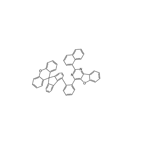 c1ccc2c(c1)Oc1ccccc1C21c2ccccc2-c2c(-c3ccccc3-c3nc(-c4cccc5ccccc45)nc4c3oc3ccccc34)cccc21